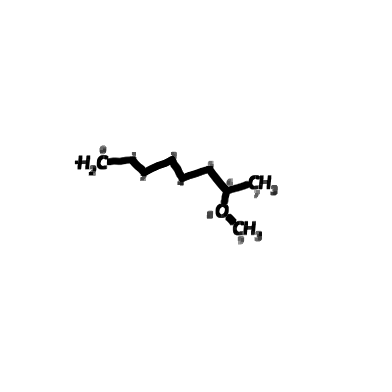 [CH2]CCCCCC(C)OC